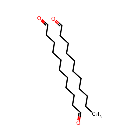 CCCCCCCCCCC=O.O=CCCCCCCCCCC=O